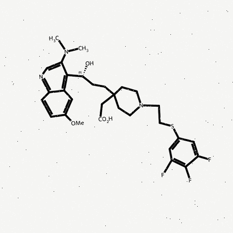 COc1ccc2ncc(N(C)C)c([C@H](O)CCC3(CC(=O)O)CCN(CCSc4cc(F)c(F)c(F)c4)CC3)c2c1